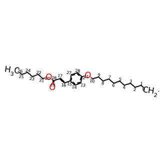 [CH2]CCCCCCCCCCOc1ccc(/C=C/C(=O)OCCCCCC)cc1